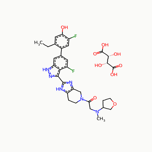 CCc1cc(O)c(F)cc1-c1cc(F)c2c(-c3nc4c([nH]3)CCN(C(=O)CN(C)C3CCOC3)C4)n[nH]c2c1.O=C(O)[C@H](O)[C@@H](O)C(=O)O